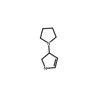 C1=CC(N2CCCC2)C[N]1